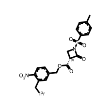 Cc1ccc(S(=O)(=O)N2C[C@@H](C(=O)OCc3ccc([N+](=O)[O-])c(CC(C)C)c3)C2=O)cc1